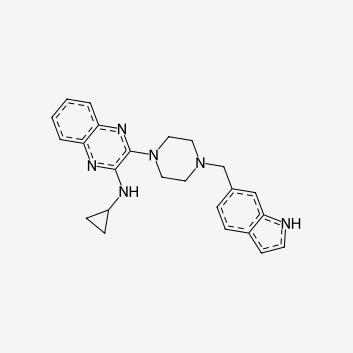 c1ccc2nc(N3CCN(Cc4ccc5cc[nH]c5c4)CC3)c(NC3CC3)nc2c1